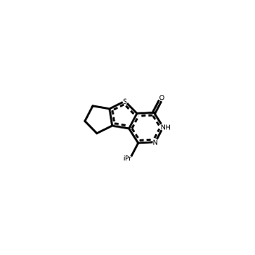 CC(C)c1n[nH]c(=O)c2sc3c(c12)CCC3